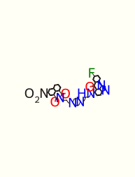 O=C1c2cccc3cc([N+](=O)[O-])cc(c23)C(=O)N1CCCN1CCN(CCCNc2ccc3ncn4c5ccc(F)cc5c(=O)c2c34)CC1